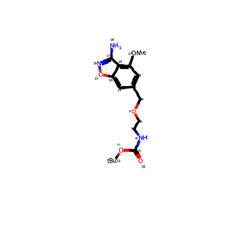 COc1cc(COCCNC(=O)OC(C)(C)C)cc2onc(N)c12